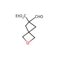 CCOC(=O)C1(C=O)CC2(COC2)C1